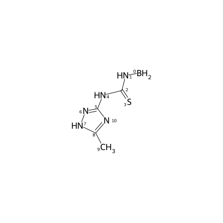 BNC(=S)Nc1n[nH]c(C)n1